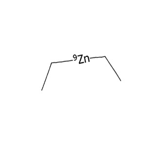 C[CH2][9Zn][CH2]C